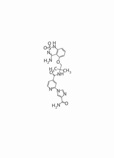 CC(C)(COc1cccc2c1C(N)=NS(=O)(=O)N2)NC(=O)c1ccnc(-n2cnc(C(N)=O)c2)c1